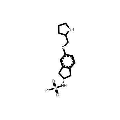 CC(C)S(=O)(=O)N[C@H]1Cc2ccc(OCC3CCCN3)cc2C1